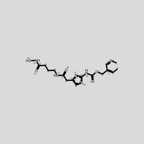 C/C=C(\C=N/C)COC(=O)Nc1nc(CC(=O)NCCCC(=O)NO)cs1